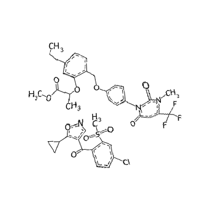 CCc1ccc(COc2ccc(-n3c(=O)cc(C(F)(F)F)n(C)c3=O)cc2)c(OC(C)C(=O)OC)c1.CS(=O)(=O)c1cc(Cl)ccc1C(=O)c1cnoc1C1CC1